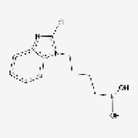 OB(O)CCCCn1c(Cl)nc2ccccc21